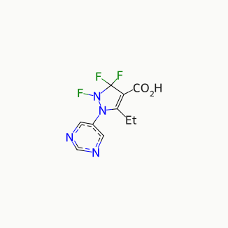 CCC1=C(C(=O)O)C(F)(F)N(F)N1c1cncnc1